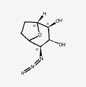 [N-]=[N+]=N[C@H]1C2CC[C@@H](O2)[C@@H](O)C1O